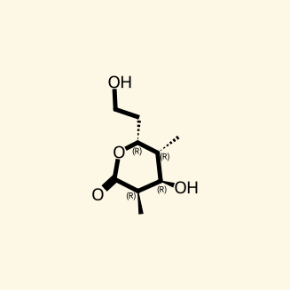 C[C@@H]1[C@@H](O)[C@@H](C)C(=O)O[C@@H]1CCO